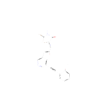 O=C1NC(=S)S/C1=C\c1cc2cncc(C#Cc3ccccc3OC(F)(F)F)c2o1